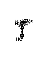 COC(=O)C(NC(=O)c1ccc(C#Cc2ccc(CO)cc2)cc1)C(C)(C)[N+](=O)[O-]